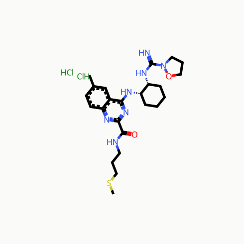 CSCCCNC(=O)c1nc(N[C@H]2CCCC[C@H]2NC(=N)N2CCCO2)c2cc(C)ccc2n1.Cl.Cl